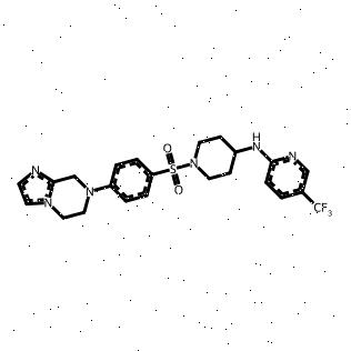 O=S(=O)(c1ccc(N2CCn3ccnc3C2)cc1)N1CCC(Nc2ccc(C(F)(F)F)cn2)CC1